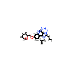 CCCc1nc2c(N)nc3cc(OCC4CCCCO4)ccc3c2n1CC(C)C